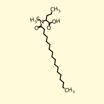 CCCCCCCCCCCCCCCCCC(=O)N(C)C(CCC)C(=O)O